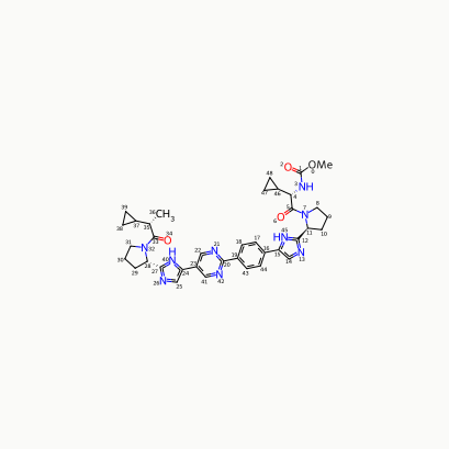 COC(=O)N[C@H](C(=O)N1CCC[C@H]1c1ncc(-c2ccc(-c3ncc(-c4cnc([C@@H]5CCCN5C(=O)[C@@H](C)C5CC5)[nH]4)cn3)cc2)[nH]1)C1CC1